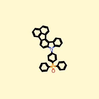 O=P(c1ccccc1)(c1ccccc1)c1ccc(-n2c3ccccc3c3c4c(ccc32)-c2cccc3cccc-4c23)cc1